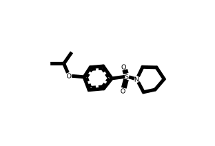 CC(C)Oc1ccc(S(=O)(=O)N2CCCCC2)cc1